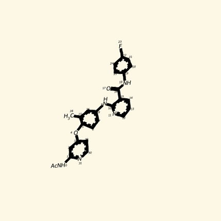 CC(=O)Nc1cc(Oc2ccc(Nc3ncccc3C(=O)Nc3ccc(F)cc3)cc2C)ccn1